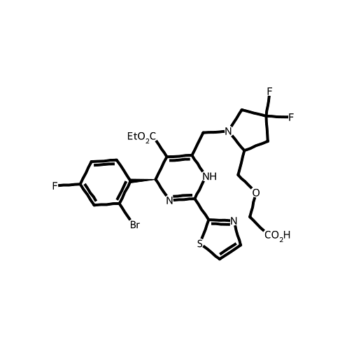 CCOC(=O)C1=C(CN2CC(F)(F)CC2COCC(=O)O)NC(c2nccs2)=N[C@H]1c1ccc(F)cc1Br